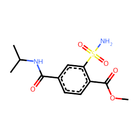 COC(=O)c1ccc(C(=O)NC(C)C)cc1S(N)(=O)=O